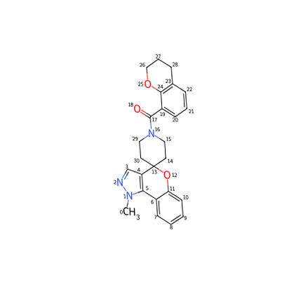 Cn1ncc2c1-c1ccccc1OC21CCN(C(=O)c2cccc3c2OCCC3)CC1